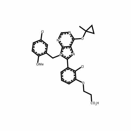 COc1ccc(Cl)cc1Cn1c(-c2cccc(OCCC(=O)O)c2Cl)nc2c(OC3(C)CC3)ncnc21